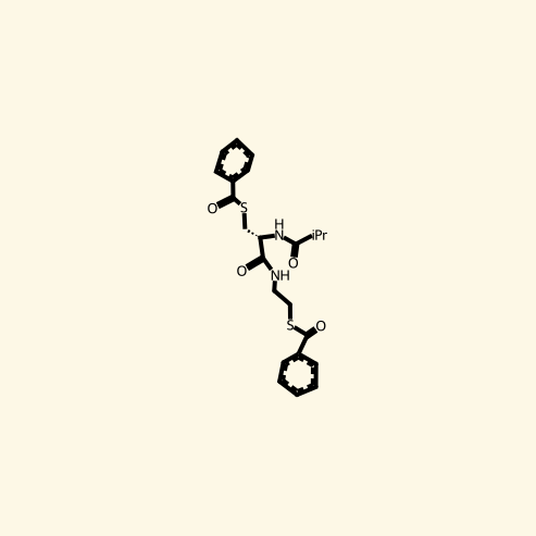 CC(C)C(=O)N[C@@H](CSC(=O)c1ccccc1)C(=O)NCCSC(=O)c1ccccc1